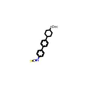 CCCCCCCCCCC1CCC(c2ccc(-c3ccc(N=C=S)cc3)cc2)CC1